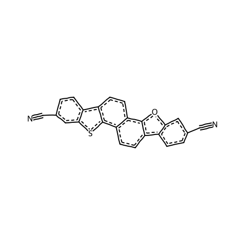 N#Cc1ccc2c(c1)oc1c2ccc2c1ccc1c3ccc(C#N)cc3sc12